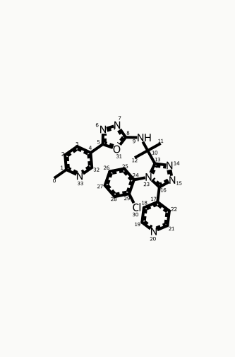 Cc1ccc(-c2nnc(NC(C)(C)c3nnc(-c4ccncc4)n3-c3ccccc3Cl)o2)cn1